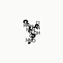 C=CNC(=O)[C@@H]1C[C@@H](O)[C@H](n2cnc3c(NCc4ccccn4)nc(-c4cncc(Cl)c4)nc32)O1